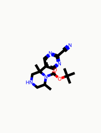 CC1CNCC(C)(c2cnc(C#N)nc2)N1C(=O)OC(C)(C)C